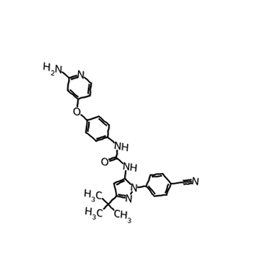 CC(C)(C)c1cc(NC(=O)Nc2ccc(Oc3ccnc(N)c3)cc2)n(-c2ccc(C#N)cc2)n1